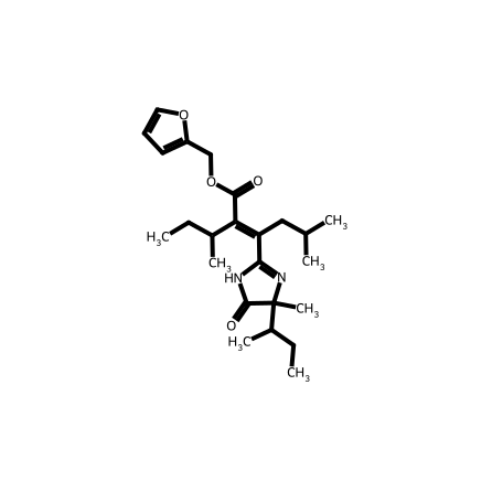 CCC(C)/C(C(=O)OCc1ccco1)=C(/CC(C)C)C1=NC(C)(C(C)CC)C(=O)N1